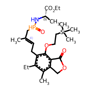 CCOC(=O)[C@H](C)N[PH](=O)C/C(C)=C/Cc1c(CC)c(C)c2c(c1OCC[Si](C)(C)C)C(=O)OC2